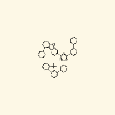 CC1(C)c2ccccc2-c2cccc(-c3cccc(-c4nc(-c5cccc(-c6ccccc6)c5)nc(-c5ccc6c(c5)oc5cccc(-c7ccccc7)c56)n4)c3)c21